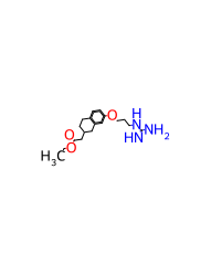 CCOC(=O)CC1CCc2ccc(OCCCNC(=N)N)cc2C1